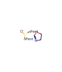 C1=NCCO1.CCCCC[S+]([O-])CCCCC